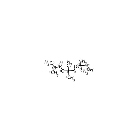 CB(C)BOC(C)(C)COC(C)(C)CO